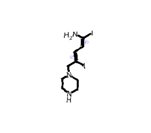 N/C(I)=C\C=C(/I)CN1CCNCC1